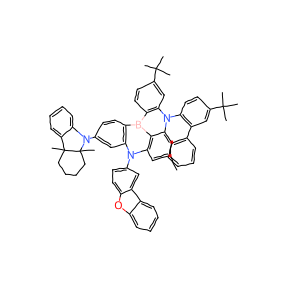 Cc1cc2c3c(c1)N(c1ccc(C(C)(C)C)cc1-c1ccccc1)c1cc(C(C)(C)C)ccc1B3c1ccc(N3c4ccccc4C4(C)CCCCC34C)cc1N2c1ccc2oc3ccccc3c2c1